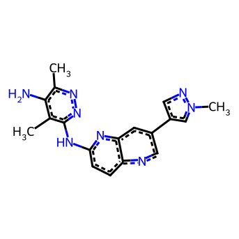 Cc1nnc(Nc2ccc3ncc(-c4cnn(C)c4)cc3n2)c(C)c1N